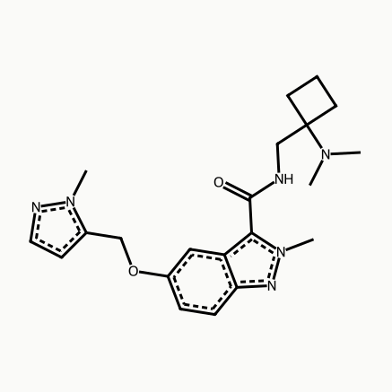 CN(C)C1(CNC(=O)c2c3cc(OCc4ccnn4C)ccc3nn2C)CCC1